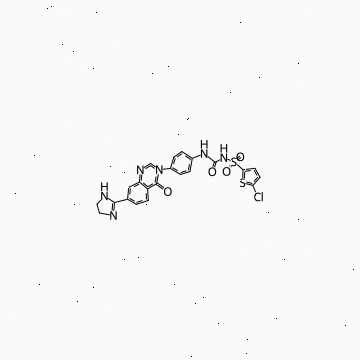 O=C(Nc1ccc(-n2cnc3cc(C4=NCCN4)ccc3c2=O)cc1)NS(=O)(=O)c1ccc(Cl)s1